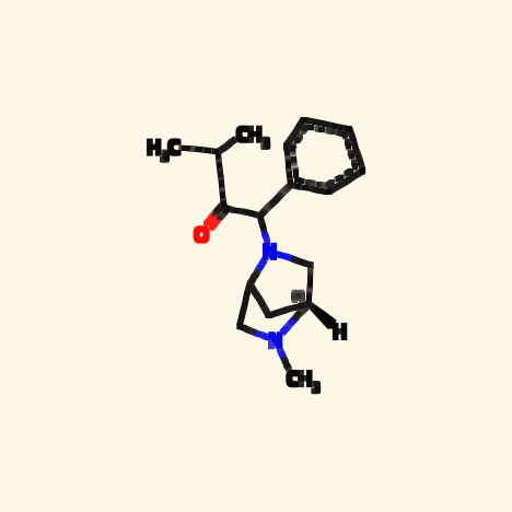 CC(C)C(=O)C(c1ccccc1)N1C[C@H]2CC1CN2C